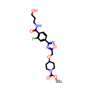 CC(C)(C)OC(=O)N1CCC(OCc2nc(-c3ccc(C(=O)NCCCO)c(F)c3)no2)CC1